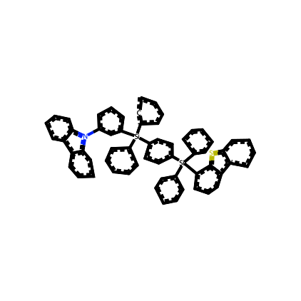 c1ccc([Si](c2ccccc2)(c2ccc([Si](c3ccccc3)(c3ccccc3)c3cccc4c3sc3ccccc34)cc2)c2cccc(-n3c4ccccc4c4ccccc43)c2)cc1